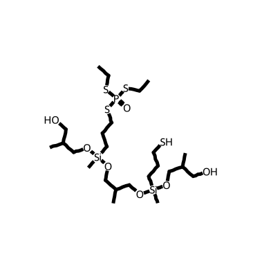 CCSP(=O)(SCC)SCCC[Si](C)(OCC(C)CO)OCC(C)CO[Si](C)(CCCS)OCC(C)CO